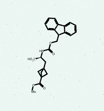 CC(C)(C)OC(=O)C12CC(C[C@H](NC(=O)OCC3c4ccccc4-c4ccccc43)C(=O)O)(C1)C2